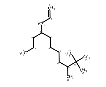 C=CNC(CCC)CCCCC(C)C(C)(C)C